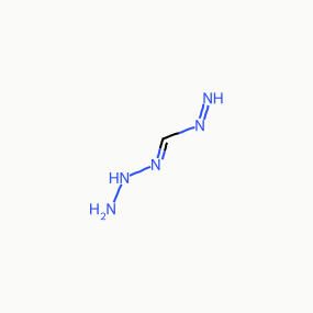 N=NC=NNN